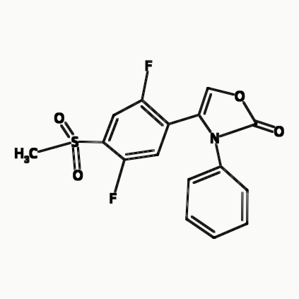 CS(=O)(=O)c1cc(F)c(-c2coc(=O)n2-c2ccccc2)cc1F